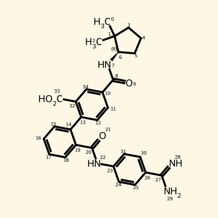 CC1(C)CCC[C@H]1NC(=O)c1ccc(-c2ccccc2C(=O)Nc2ccc(C(=N)N)cc2)c(C(=O)O)c1